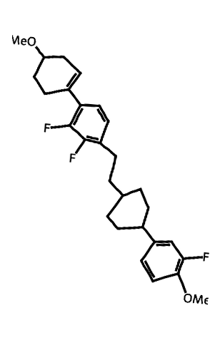 COc1ccc(C2CCC(CCc3ccc(C4=CCC(OC)CC4)c(F)c3F)CC2)cc1F